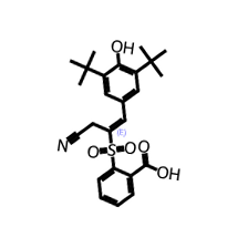 CC(C)(C)c1cc(/C=C(\CC#N)S(=O)(=O)c2ccccc2C(=O)O)cc(C(C)(C)C)c1O